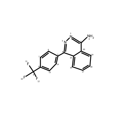 Nc1nnc(-c2ccc(C(F)(F)F)cc2)c2ccccc12